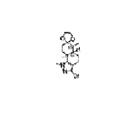 C[C@H]1[C@@H]2CCc3c(Br)nn(C)c3[C@@]2(C)CCC12OCCO2